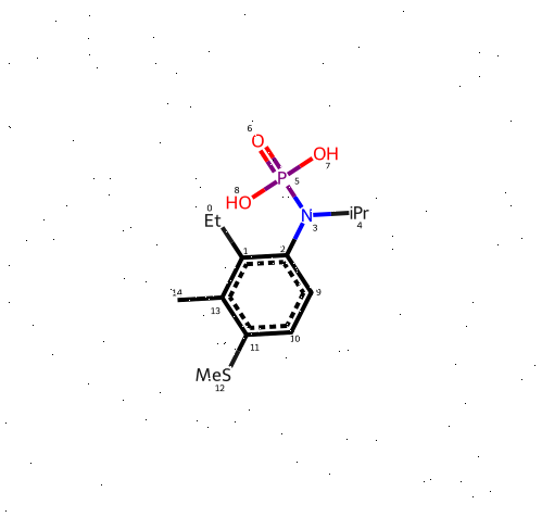 CCc1c(N(C(C)C)P(=O)(O)O)ccc(SC)c1C